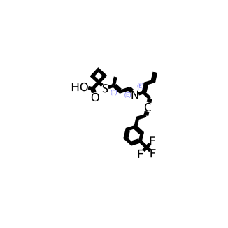 C=C/C=C(C=C=CCc1cccc(C(F)(F)F)c1)/N=C/C=C(\C)SC1(C(=O)O)CCC1